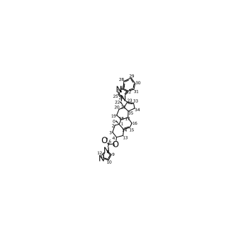 C[C@]12CCC(OC(=O)n3ccnc3)CC1=CCC1C2CC[C@]2(C)C(n3cnc4ccccc43)=CCC12